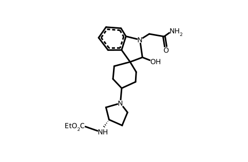 CCOC(=O)N[C@H]1CCN(C2CCC3(CC2)c2ccccc2N(CC(N)=O)C3O)C1